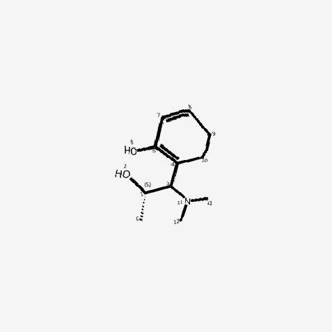 C[C@H](O)C(C1=C(O)C=CCC1)N(C)C